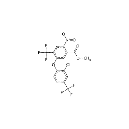 COC(=O)c1cc(Oc2ccc(C(F)(F)F)cc2Cl)c(C(F)(F)F)cc1[N+](=O)[O-]